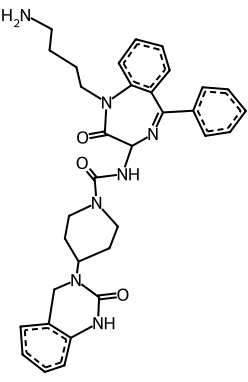 NCCCCN1C(=O)C(NC(=O)N2CCC(N3Cc4ccccc4NC3=O)CC2)N=C(c2ccccc2)c2ccccc21